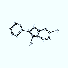 N#Cc1c2ccc(Br)cc2nn1-c1ccccc1